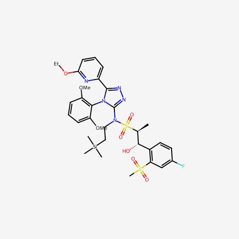 CCOc1cccc(-c2nnc(N(CC[Si](C)(C)C)S(=O)(=O)[C@@H](C)[C@@H](O)c3ccc(F)cc3S(C)(=O)=O)n2-c2c(OC)cccc2OC)n1